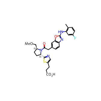 COC[C@@H]1CC[C@@H](c2ncc(CCC(=O)O)s2)N1C(=O)Cc1ccc2nc(Nc3cc(F)ccc3C)oc2c1